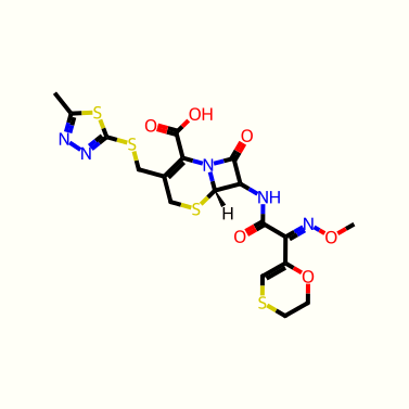 CON=C(C(=O)NC1C(=O)N2C(C(=O)O)=C(CSc3nnc(C)s3)CS[C@@H]12)C1=CSCCO1